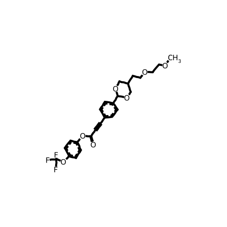 COCCOCCC1COC(c2ccc(C#CC(=O)Oc3ccc(OC(F)(F)F)cc3)cc2)OC1